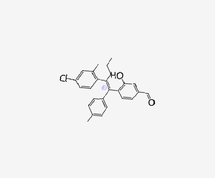 CCC/C(=C(/c1ccc(C)cc1)c1ccc(C=O)cc1O)c1ccc(Cl)cc1C